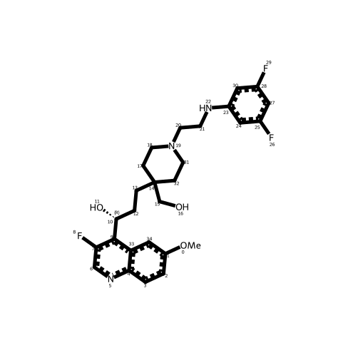 COc1ccc2ncc(F)c([C@H](O)CCC3(CO)CCN(CCNc4cc(F)cc(F)c4)CC3)c2c1